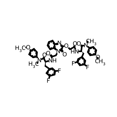 COc1ccc(N(C)C(=O)[C@H](Cc2cc(F)cc(F)c2)NC(=O)COc2nc3ccccc3n(CC(=O)N[C@@H](Cc3cc(F)cc(F)c3)C(=O)N(C)c3ccc(OC)cc3)c2=O)cc1